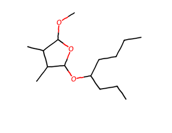 CCCCC(CCC)OC1OC(OC)C(C)C1C